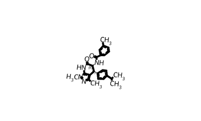 Cc1cccc(C(=O)N[C@H]2C(=O)Nc3c(c(C)nn3C)[C@H]2c2ccc(C(C)C)cc2)c1